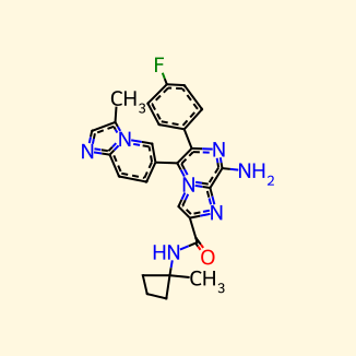 Cc1cnc2ccc(-c3c(-c4ccc(F)cc4)nc(N)c4nc(C(=O)NC5(C)CCC5)cn34)cn12